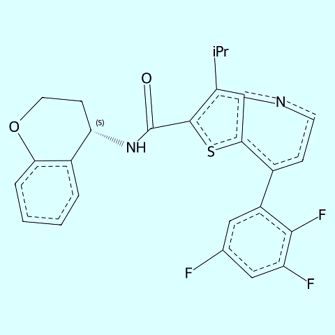 CC(C)c1c(C(=O)N[C@H]2CCOc3ccccc32)sc2c(-c3cc(F)cc(F)c3F)ccnc12